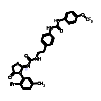 Cc1ccc(C(C)C)c(N2C(=O)CS/C2=N\C(=O)NCCc2ccc(NC(=O)Nc3ccc(OC(F)(F)F)cc3)cc2)c1